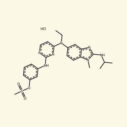 CCN(c1ccc2c(c1)nc(NC(C)C)n2C)c1ccnc(Nc2cccc(OS(C)(=O)=O)c2)n1.Cl